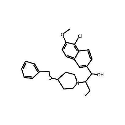 CCC(C(O)c1ccc2c(Cl)c(OC)ccc2c1)N1CCC(OCc2ccccc2)CC1